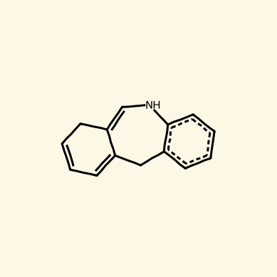 C1=CCC2=CNc3ccccc3CC2=C1